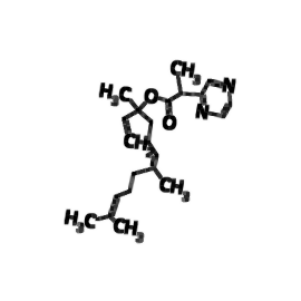 C=CC(C)(CCC=C(C)CCC=C(C)C)OC(=O)C(C)c1cnccn1